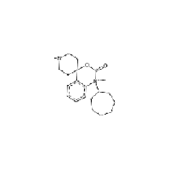 C[N+]1(C2CCCCCC2)C(=O)OC2(CCNCC2)c2ccccc21